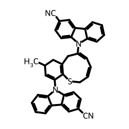 CC1C=C(n2c3ccccc3c3cc(C#N)ccc32)C2=C(C/C(n3c4ccccc4c4cc(C#N)ccc43)=C\C=C/CS2)C1